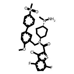 COc1ccc(-c2ccc(S(C)(=O)=O)cc2)cc1CN(C(=O)c1sc2c(F)ccc(F)c2c1Cl)[C@H]1CC[C@H](N(C)N)CC1